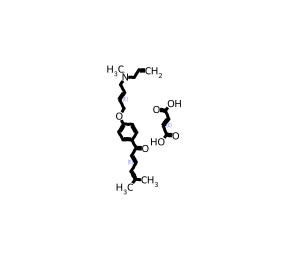 C=CCN(C)C/C=C/COc1ccc(C(=O)/C=C/C=C(C)C)cc1.O=C(O)/C=C/C(=O)O